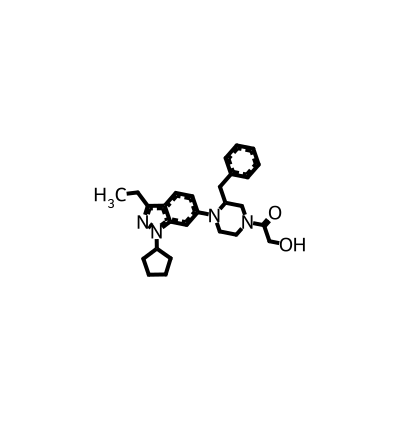 CCc1nn(C2CCCC2)c2cc(N3CCN(C(=O)CO)CC3Cc3ccccc3)ccc12